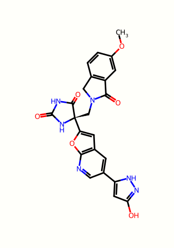 COc1ccc2c(c1)C(=O)N(C[C@@]1(c3cc4cc(-c5cc(O)n[nH]5)cnc4o3)NC(=O)NC1=O)C2